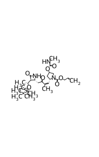 C=CCOC(=O)N1C[C@H](OC(=O)NC)C[C@H]1C=C(C)C(=O)C[C@H]1NC(=O)[C@@H]1[C@@H](C)O[Si](C)(C)C(C)(C)C